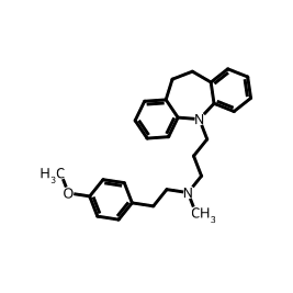 COc1ccc(CCN(C)CCCN2c3ccccc3CCc3ccccc32)cc1